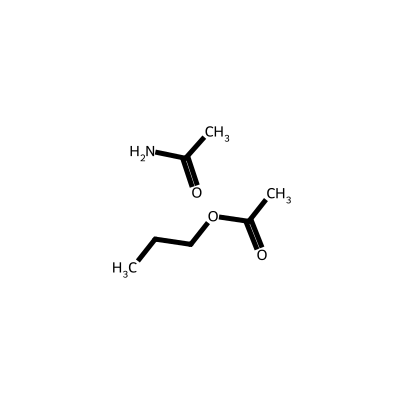 CC(N)=O.CCCOC(C)=O